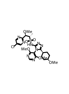 COc1ncnc(OC)c1-n1c(NS(=O)(=O)[C@@H](C)[C@H](OC)c2ncc(Cl)cn2)nnc1[C@H]1CC[C@@H](OC)CC1